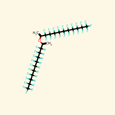 C=C(OC(=C)C(F)(F)C(F)(F)C(F)(F)C(F)(F)C(F)(F)C(F)(F)C(F)(F)C(F)(F)C(F)(F)C(F)(F)F)C(F)(F)C(F)(F)C(F)(F)C(F)(F)C(F)(F)C(F)(F)C(F)(F)C(F)(F)C(F)(F)C(F)(F)F